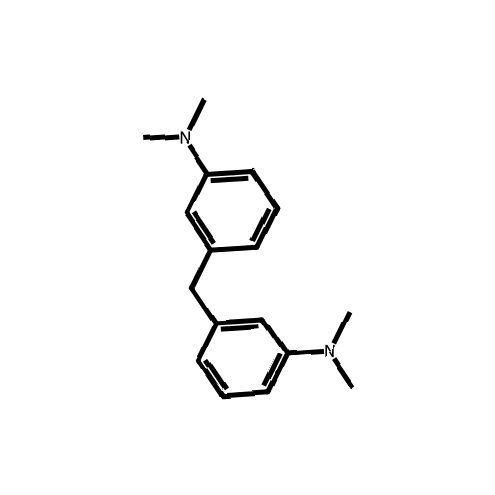 CN(C)c1cccc(Cc2cccc(N(C)C)c2)c1